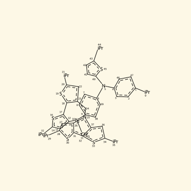 CC(C)c1ccc(N(c2ccc(N(C)c3cc(C(C)C)sc3-c3sc(C(C)C)cc3Cn3c4cc(C(C)C)sc4c4sc(C(C)C)cc43)cc2)c2ccc(C(C)C)s2)cc1